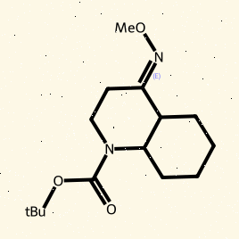 CO/N=C1\CCN(C(=O)OC(C)(C)C)C2CCCCC12